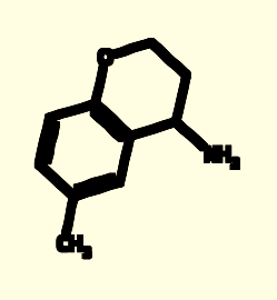 Cc1ccc2c(c1)C(N)CCO2